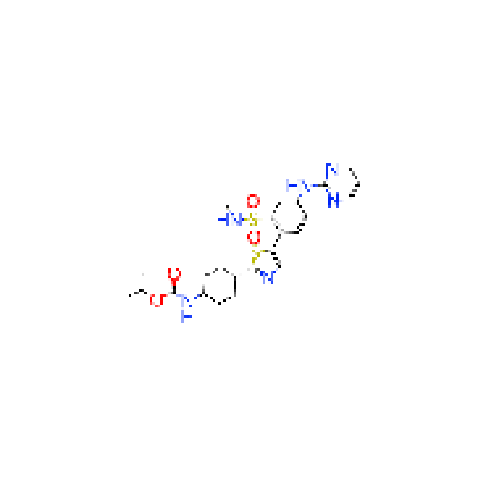 CCNS(=O)(=O)c1cc(Nc2ncccn2)ccc1-c1cnc([C@H]2CC[C@H](NC(=O)OC(C)C)CC2)s1